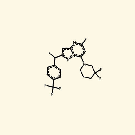 Cc1cc(N2CCCC(F)(F)C2)n2nc(C(C)c3ccc(C(F)(F)F)cc3)cc2n1